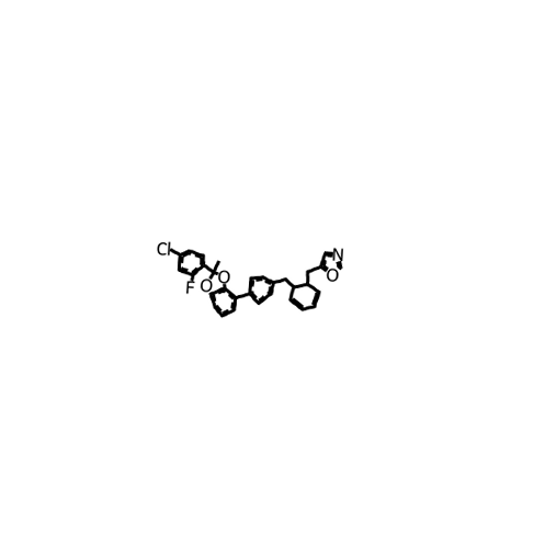 CC1(c2ccc(Cl)cc2F)Oc2cccc(-c3ccc(CC4C=CC=CC4Cc4cnco4)cc3)c2O1